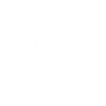 F.F.F.F.F.F.O=[P]=O.[NaH]